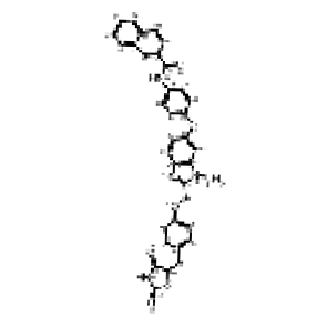 Cn1c(COc2ccc(CC3SC(=O)NC3=O)cc2)nc2ccc(Oc3ccc(NC(=O)c4ccc5ccccc5c4)cc3)cc21